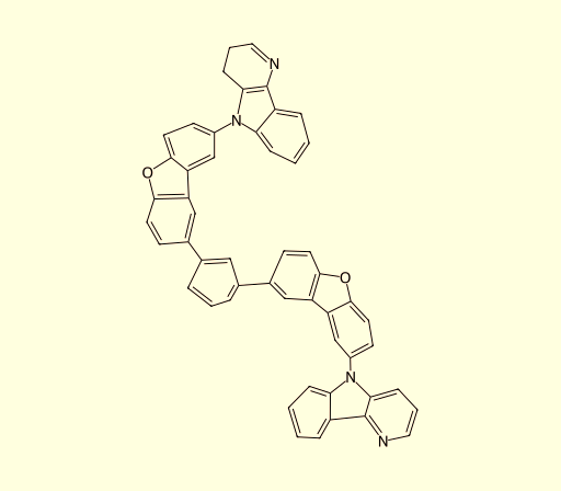 C1=Nc2c(n(-c3ccc4oc5ccc(-c6cccc(-c7ccc8oc9ccc(-n%10c%11ccccc%11c%11ncccc%11%10)cc9c8c7)c6)cc5c4c3)c3ccccc23)CC1